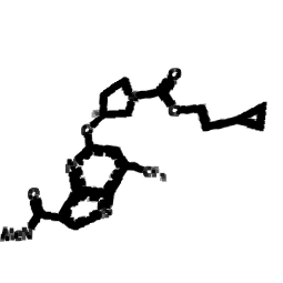 CNC(=O)c1csc2c(C(F)(F)F)cc(O[C@H]3CCN(C(=O)OCCC4CC4)C3)nc12